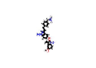 COc1ccc2c(c1)[C@@]1(C[C@@H]1c1ccc3c(/C=C/c4ccc(CN(C)C)cc4)n[nH]c3c1)C(=O)N2